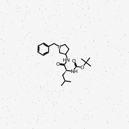 CC(C)C[C@H](NC(=O)OC(C)(C)C)C(=O)NC1CCN(Cc2ccccc2)C1